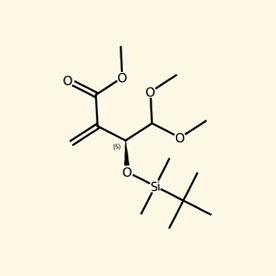 C=C(C(=O)OC)[C@H](O[Si](C)(C)C(C)(C)C)C(OC)OC